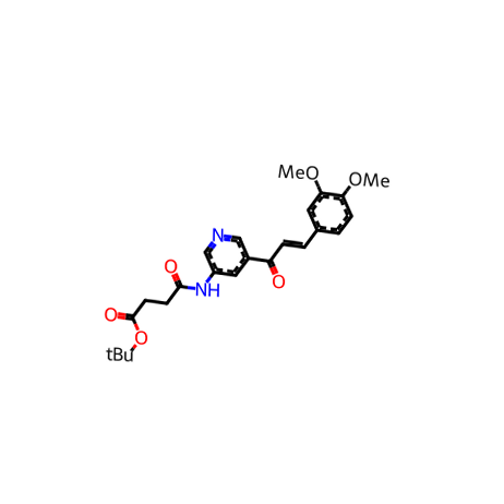 COc1ccc(C=CC(=O)c2cncc(NC(=O)CCC(=O)OC(C)(C)C)c2)cc1OC